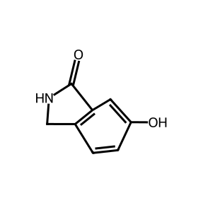 O=C1NCc2ccc(O)cc21